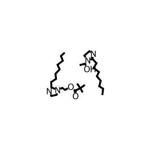 CCCCCCCCC1=NCCN1C(C)O.CCCCCCCCC1=NCCN1CCOC(=O)C(C)(C)C